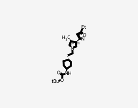 CCc1cc([C@H]2CN(CC[C@H]3CC[C@H](NC(=O)OC(C)(C)C)CC3)C[C@@H]2C)no1